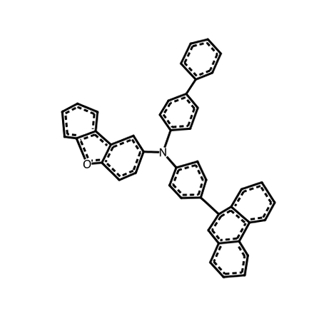 c1ccc(-c2ccc(N(c3ccc(-c4cc5ccccc5c5ccccc45)cc3)c3ccc4oc5ccccc5c4c3)cc2)cc1